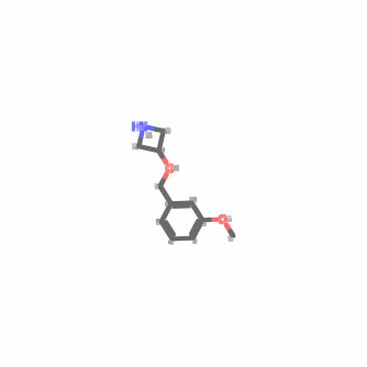 COc1cccc(COC2CNC2)c1